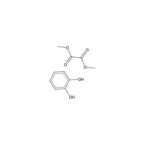 COC(=O)C(=O)OC.Oc1ccccc1O